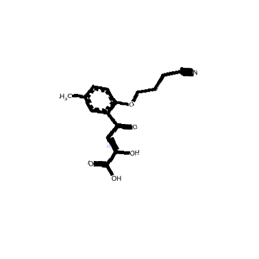 Cc1ccc(OCCCC#N)c(C(=O)/C=C(\O)C(=O)O)c1